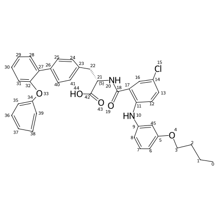 CCCCOc1cccc(Nc2ccc(Cl)cc2C(=O)N[C@@H](Cc2ccc(-c3ccccc3Oc3ccccc3)cc2)C(=O)O)c1